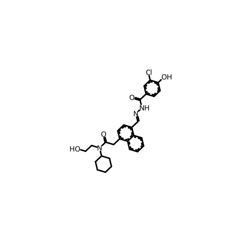 O=C(N/N=C/c1ccc(CC(=O)N(CCO)C2CCCCC2)c2ccccc12)c1ccc(O)c(Cl)c1